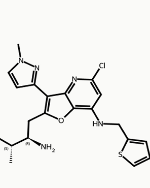 C[C@H](F)[C@H](N)Cc1oc2c(NCc3cccs3)cc(Cl)nc2c1-c1ccn(C)n1